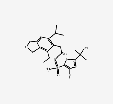 CCc1c2c(cc(C(C)C)c1CC(=O)N=S(N)(=O)c1sc(C(C)(C)O)cc1F)COC2